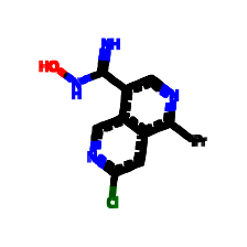 CC(C)c1ncc(C(=N)NO)c2cnc(Cl)cc12